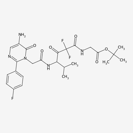 CC(C)C(NC(=O)Cn1c(-c2ccc(F)cc2)ncc(N)c1=O)C(=O)C(F)(F)C(=O)NCC(=O)OC(C)(C)C